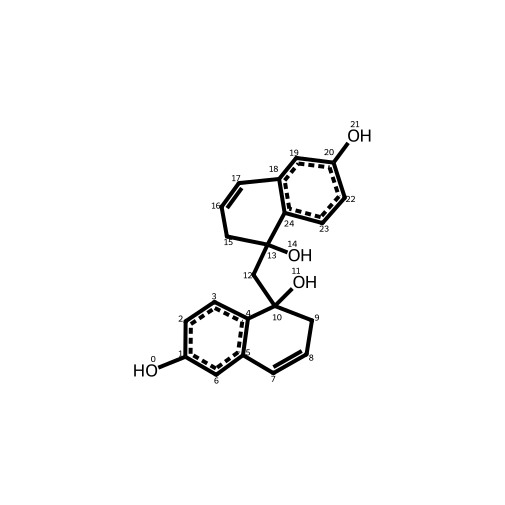 Oc1ccc2c(c1)C=CCC2(O)CC1(O)CC=Cc2cc(O)ccc21